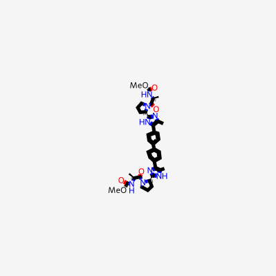 COC(=O)N[C@@H](C)C(=O)N1CCC[C@H]1c1nc(-c2ccc(-c3ccc(-c4[nH]c([C@@H]5CCCN5C(=O)[C@H](C)NC(=O)OC)nc4C)cc3)cc2)c(C)[nH]1